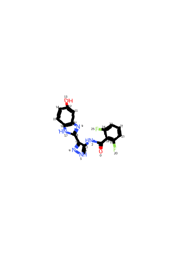 O=C(Nc1c[nH]nc1-c1nc2cc(O)ccc2[nH]1)c1c(F)cccc1F